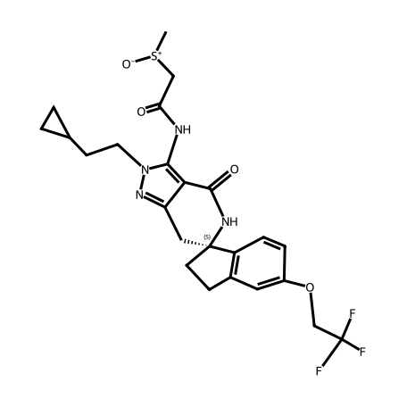 C[S+]([O-])CC(=O)Nc1c2c(nn1CCC1CC1)C[C@]1(CCc3cc(OCC(F)(F)F)ccc31)NC2=O